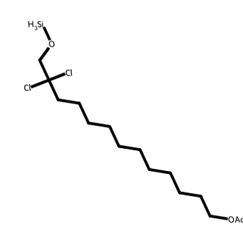 CC(=O)OCCCCCCCCCCCC(Cl)(Cl)CO[SiH3]